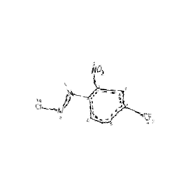 O=[N+]([O-])c1cc(C(F)(F)F)ccc1/N=N/Cl